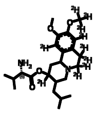 [2H]c1c(OC)c(OC([2H])([2H])[2H])c([2H])c2c1C1CC([2H])(OC(=O)[C@@H](N)C(C)C)C(CC(C)C)CN1C([2H])([2H])C2([2H])[2H]